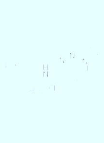 C=C(Nc1cc(C)ccc1C)c1csc2c(NC3CC3)ncnc12